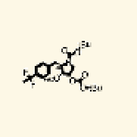 CC(=O)O[C@@H]1[C@@H](OC(=O)OC(C)(C)C)CN(C(=O)OC(C)(C)C)[C@@H]1Cc1ccc(C(C)(F)F)cc1